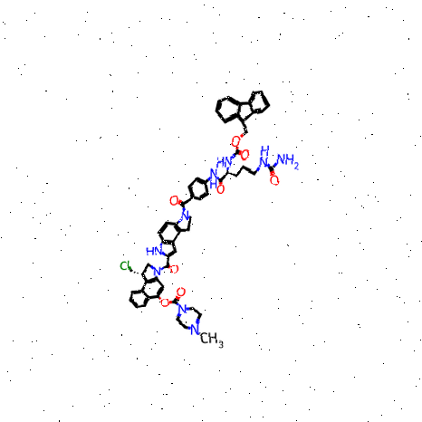 CN1CCN(C(=O)Oc2cc3c(c4ccccc24)[C@H](CCl)CN3C(=O)c2cc3c4c(ccc3[nH]2)N(C(=O)c2ccc(NC(=O)[C@H](CCCNC(N)=O)NC(=O)OCC3c5ccccc5-c5ccccc53)cc2)CC4)CC1